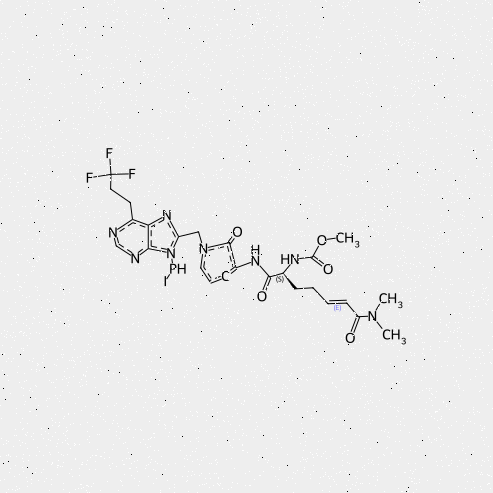 COC(=O)N[C@@H](CC/C=C/C(=O)N(C)C)C(=O)Nc1cccn(Cc2nc3c(CCC(F)(F)F)ncnc3n2PI)c1=O